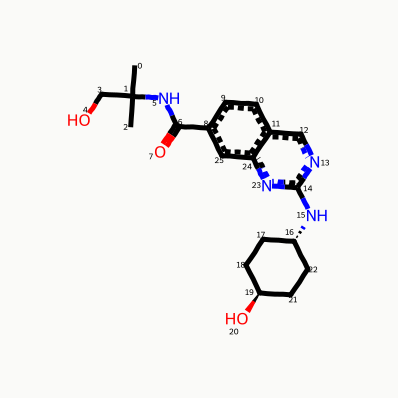 CC(C)(CO)NC(=O)c1ccc2cnc(N[C@H]3CC[C@H](O)CC3)nc2c1